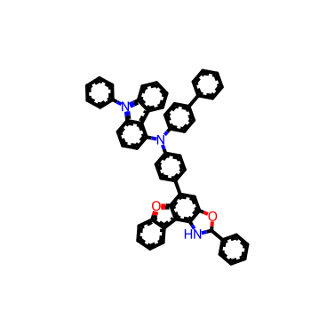 c1ccc(-c2ccc(N(c3ccc(-c4cc5c(c6c4oc4ccccc46)NC(c4ccccc4)O5)cc3)c3cccc4c3c3ccccc3n4-c3ccccc3)cc2)cc1